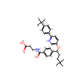 CC(C)(C)CCC(Oc1ccc(-c2ccc(C(C)(C)C)cc2)nc1)c1ccc(C(=O)NCCC(=O)O)cc1